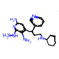 NNc1nc(N)cc(C(CCNC2CCCCC2)c2cccnc2)c1N